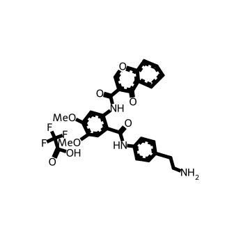 COc1cc(NC(=O)c2coc3ccccc3c2=O)c(C(=O)Nc2ccc(CCN)cc2)cc1OC.O=C(O)C(F)(F)F